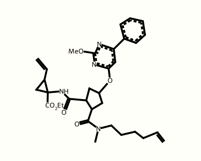 C=CCCCCN(C)C(=O)C1CC(Oc2cc(-c3ccccc3)nc(OC)n2)CC1C(=O)NC1(C(=O)OCC)CC1C=C